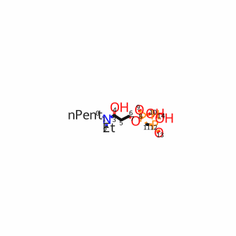 CCCCCN(CC)C(O)CCOP(=O)(O)C[PH](=O)O